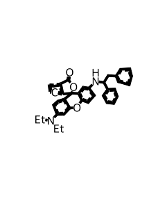 CCN(CC)c1ccc2c(c1)Oc1ccc(NC(Cc3ccccc3)c3ccccc3)cc1C21OC(=O)c2ccccc21